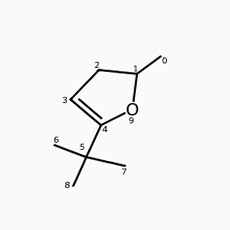 CC1CC=C(C(C)(C)C)O1